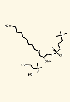 CCCCCCCCCCCCCCCCCCOC[C@H](COP(=O)(O)OCC[N+](C)(C)C)OC.C[N+](C)(C)CCO.Cl